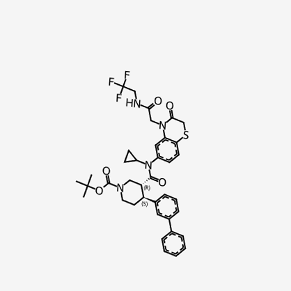 CC(C)(C)OC(=O)N1CC[C@H](c2cccc(-c3ccccc3)c2)[C@@H](C(=O)N(c2ccc3c(c2)N(CC(=O)NCC(F)(F)F)C(=O)CS3)C2CC2)C1